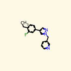 CCc1ccc(-c2cnn(Cc3cccnc3)c2)cc1F